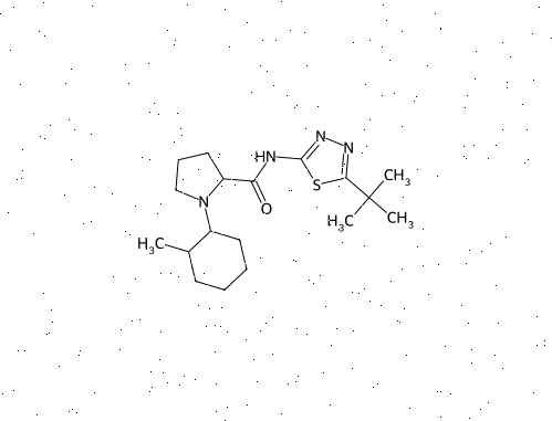 CC1CCCCC1N1CCCC1C(=O)Nc1nnc(C(C)(C)C)s1